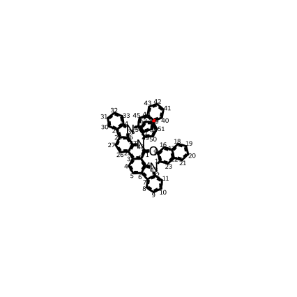 O=c1c2c(ccc3c4ccccc4n(-c4ccc5ccccc5c4)c32)c2ccc3c4ccccc4n(-c4ccc5ccccc5c4)c3c2n1-c1ccccc1